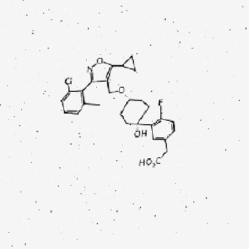 Cc1cccc(Cl)c1-c1noc(C2CC2)c1CO[C@H]1CC[C@](O)(c2cc(CC(=O)O)ccc2F)CC1